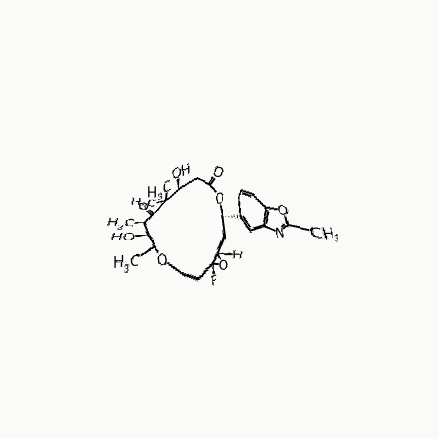 Cc1nc2cc([C@@H]3C[C@@H]4O[C@]4(F)CCOC(C)[C@@H](O)[C@@H](C)C(=O)C(C)(C)[C@@H](O)CC(=O)O3)ccc2o1